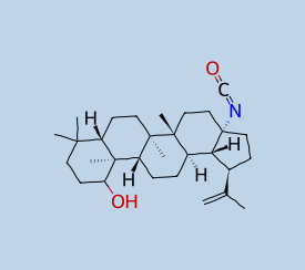 C=C(C)[C@@H]1CC[C@]2(N=C=O)CC[C@]3(C)[C@H](CC[C@@H]4[C@@]5(C)C(O)CCC(C)(C)[C@@H]5CC[C@]43C)[C@@H]12